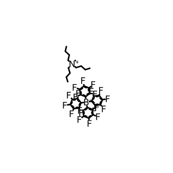 CCCC[N+](C)(CCCC)CCCC.Fc1c(F)c(F)c([B-](c2c(F)c(F)c(F)c(F)c2F)(c2c(F)c(F)c(F)c(F)c2F)c2c(F)c(F)c(F)c(F)c2F)c(F)c1F